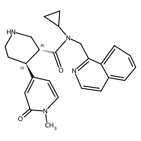 Cn1ccc([C@H]2CCNC[C@@H]2C(=O)N(Cc2nccc3ccccc23)C2CC2)cc1=O